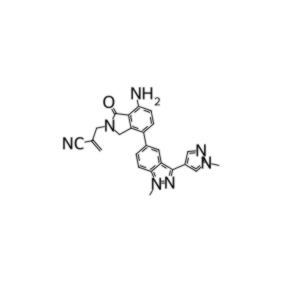 C=C(C#N)CN1Cc2c(-c3ccc4c(c3)c(-c3cnn(C)c3)nn4C)ccc(N)c2C1=O